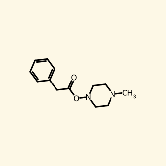 CN1CCN(OC(=O)Cc2ccccc2)CC1